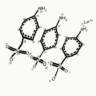 Nc1ccc(S(=O)(=O)[O-])cc1.Nc1ccc(S(=O)(=O)[O-])cc1.Nc1ccc(S(=O)(=O)[O-])cc1.[La+3]